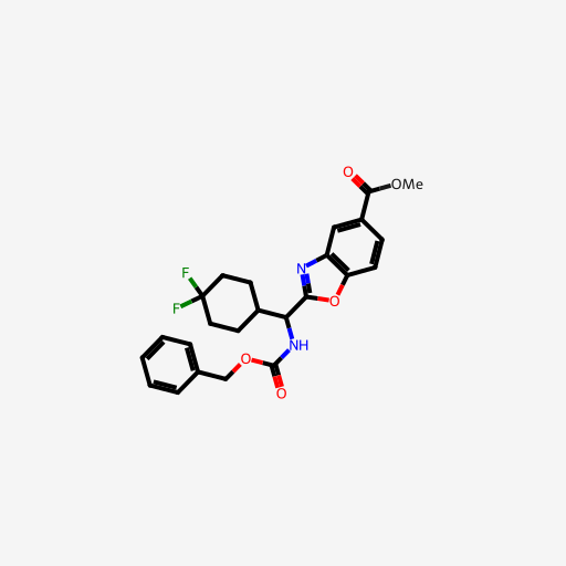 COC(=O)c1ccc2oc(C(NC(=O)OCc3ccccc3)C3CCC(F)(F)CC3)nc2c1